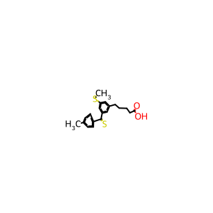 CSc1cc(CCCCC(=O)O)cc(C(=S)c2ccc(C)cc2)c1